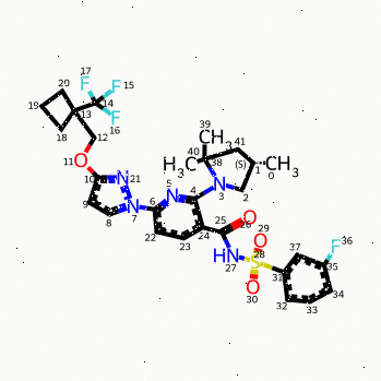 C[C@@H]1CN(c2nc(-n3ccc(OCC4(C(F)(F)F)CCC4)n3)ccc2C(=O)NS(=O)(=O)c2cccc(F)c2)C(C)(C)C1